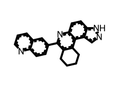 c1cnc2ccc(-c3nc4ccc5[nH]ncc5c4c4c3CCCC4)cc2c1